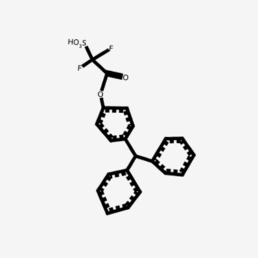 O=C(Oc1ccc(C(c2ccccc2)c2ccccc2)cc1)C(F)(F)S(=O)(=O)O